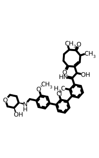 COc1cc(-c2cccc(-c3cccc(C(=N)C(O)/C4=C/C(C)C(=O)C(C)CCC4=O)c3C)c2Cl)ccc1CN[C@@H]1CCOC[C@@H]1O